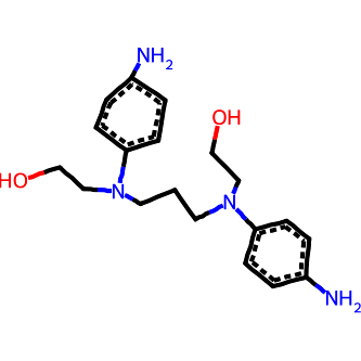 Nc1ccc(N(CCO)CCCN(CCO)c2ccc(N)cc2)cc1